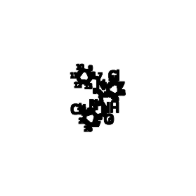 O=c1[nH]c(-c2cn(Cc3ccccc3)c3c(Cl)cccc23)nc2c(Cl)cccc12